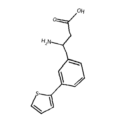 NC(CC(=O)O)c1cccc(-c2cccs2)c1